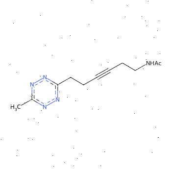 CC(=O)NCCC#CCCc1nnc(C)nn1